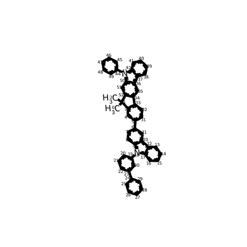 CC1(C)c2cc(-c3ccc4c(c3)c3ccccc3n4-c3cccc(-c4ccccc4)c3)ccc2-c2cc3c4ccccc4n(-c4ccccc4)c3cc21